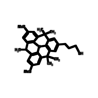 COc1cc2c3c(c1)C(C)(C)c1cc(CCCO)cc4c1N3c1c(cc(OC)cc1C4(C)C)C2C